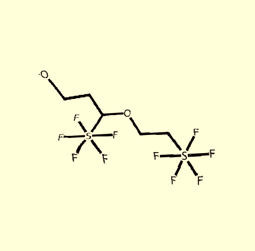 [O]CCC(OCCS(F)(F)(F)(F)F)S(F)(F)(F)(F)F